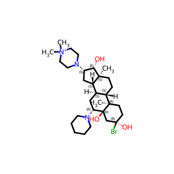 C[C@]12CC[C@H]3[C@@H](C[C@@H](N4CCCCC4)[C@@]4(O)C[C@](O)(Br)CC[C@]34C)[C@@H]1C[C@H](N1CC[N+](C)(C)CC1)[C@@H]2O